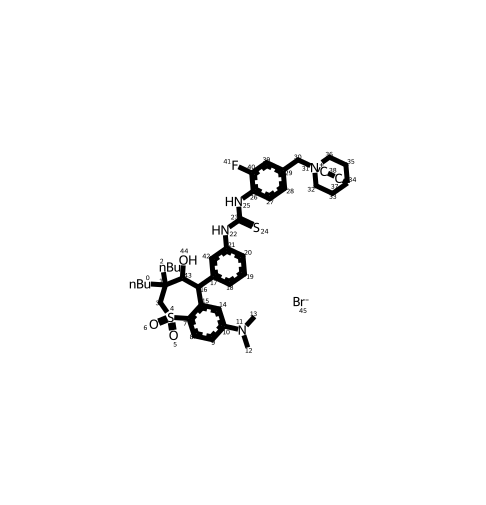 CCCCC1(CCCC)CS(=O)(=O)c2ccc(N(C)C)cc2C(c2cccc(NC(=S)Nc3ccc(C[N+]45CCC(CC4)CC5)cc3F)c2)C1O.[Br-]